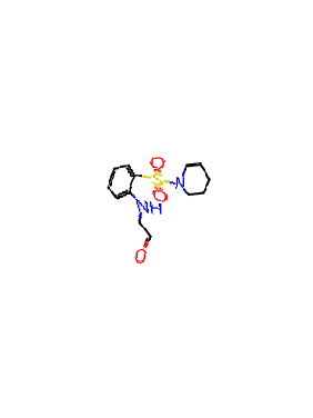 O=CCNc1ccccc1S(=O)(=O)N1CCCCC1